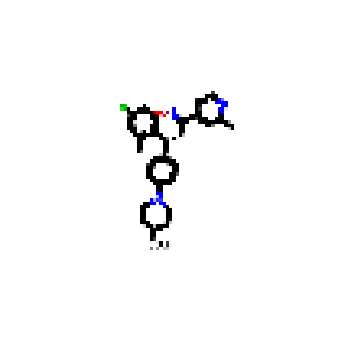 Cc1cc(/C(C[C@H](c2ccc(N3CCC(C(=O)O)CC3)cc2)c2ccc(Cl)cc2C)=N/O)ccn1